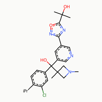 CC(C)c1ccc(C(O)(c2cncc(-c3noc(C(C)(C)O)n3)c2)C2(C)CN(C)C2)cc1Cl